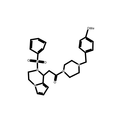 COc1ccc(CN2CCN(C(=O)CC3c4cccn4CCN3S(=O)(=O)c3ccccc3)CC2)cc1